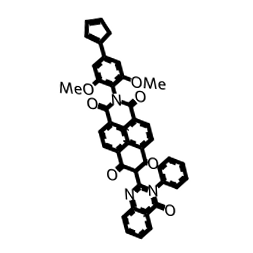 COc1cc(C2=CC=CC2)cc(OC)c1N1C(=O)c2ccc3c4c(ccc(c24)C1=O)C(=O)C(c1nc2ccccc2c(=O)n1-c1ccccc1)C3=O